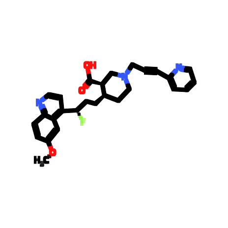 COc1ccc2nccc([C@@H](F)CC[C@@H]3CCN(CC#Cc4ccccn4)C[C@@H]3C(=O)O)c2c1